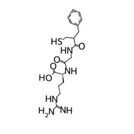 N=C(N)NCCC[C@H](NC(=O)CNC(=O)C(CS)Cc1ccccc1)C(=O)O